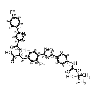 CC(C)(C)OC(=O)Nc1ccc(-c2nc(-c3ccc(CC(NC(=O)c4cc(-c5ccc(F)cc5)no4)C(=O)O)cc3F)no2)cc1